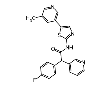 Cc1cncc(-c2cnc(NC(=O)C(c3ccc(F)cc3)c3cccnc3)s2)c1